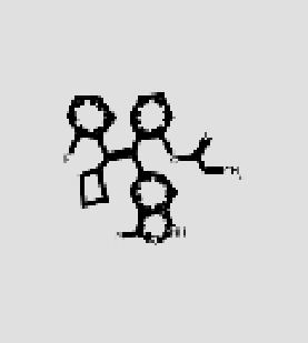 C=CC(=O)Oc1ccccc1/C(=C(\c1ccccc1F)C1CCC1)c1ccc2[nH]nc(F)c2c1